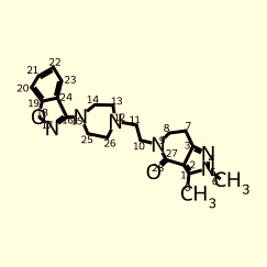 Cc1c2c(nn1C)CCN(CCN1CCN(c3noc4ccccc34)CC1)C2=O